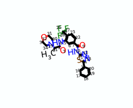 CC(C(=O)Nc1cc(C(=O)Nc2nnc(-c3ccccc3)s2)ccc1C(F)(F)F)N1CCOCC1